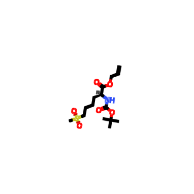 C=CCOC(=O)[C@H](CCCCS(C)(=O)=O)NC(=O)OC(C)(C)C